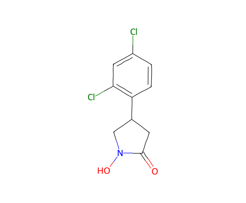 O=C1CC(c2ccc(Cl)cc2Cl)CN1O